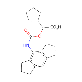 O=C(Nc1c2c(cc3c1CCC3)CCC2)OC(C(=O)O)C1CCCC1